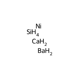 [BaH2].[CaH2].[Ni].[SiH4]